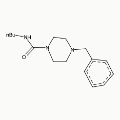 CCCCNC(=O)N1CCN(Cc2ccccc2)CC1